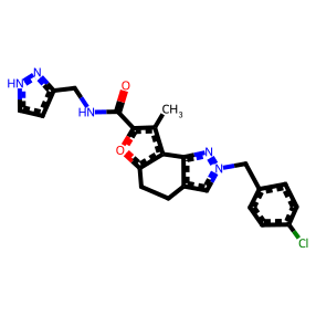 Cc1c(C(=O)NCc2cc[nH]n2)oc2c1-c1nn(Cc3ccc(Cl)cc3)cc1CC2